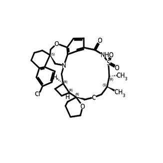 C[C@@H]1[C@@H](C)CCC[C@@]2(CCCCO2)[C@@H]2CC[C@H]2CN2C[C@@]3(CCCc4cc(Cl)ccc43)COc3ccc(cc32)C(=O)NS1(=O)=O